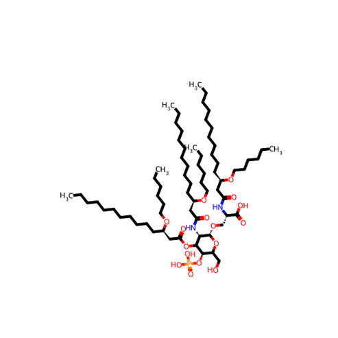 CCCCCCCCCCC[C@H](CC(=O)N[C@@H](CO[C@@H]1OC(CO)[C@@H](OP(=O)(O)O)C(OC(=O)C[C@@H](CCCCCCCCCCC)OCCCCCC)[C@@H]1NC(=O)C[C@@H](CCCCCCCCCCC)OCCCCCC)C(=O)O)OCCCCCC